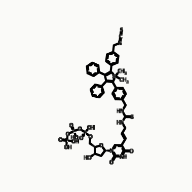 C[Si]1(C)C(c2ccc(CN=C=S)cc2)=C(c2ccccc2)C(c2ccccc2)=C1c1ccc(CNC(=S)NC/C=C/c2cn([C@H]3C[C@@H](O)[C@@H](COP(=O)(O)OP(=O)(O)OP(=O)(O)O)O3)c(=O)[nH]c2=O)cc1